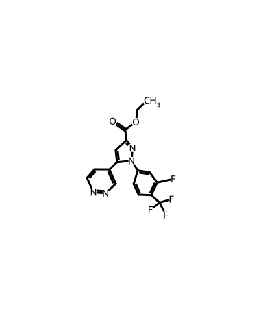 CCOC(=O)c1cc(-c2ccnnc2)n(-c2ccc(C(F)(F)F)c(F)c2)n1